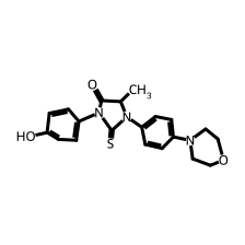 CC1C(=O)N(c2ccc(O)cc2)C(=S)N1c1ccc(N2CCOCC2)cc1